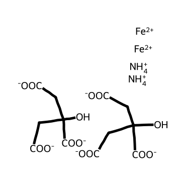 O=C([O-])CC(O)(CC(=O)[O-])C(=O)[O-].O=C([O-])CC(O)(CC(=O)[O-])C(=O)[O-].[Fe+2].[Fe+2].[NH4+].[NH4+]